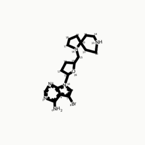 Nc1ncnc2c1c(Br)cn2C1CCC(CN2CCCC23CCNCC3)O1